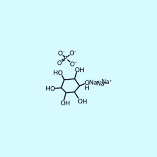 O=P([O-])([O-])[O-].OC1C(O)C(O)C(O)C(O)C1O.[Na+].[Na+].[Na+]